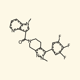 Cn1nc2c(c1-c1cc(F)c(F)c(F)c1)CCN(C(=O)c1cn(C)c3cccnc13)C2